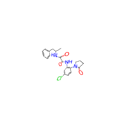 CC(Cc1ccccc1)NC(=O)C(=O)Nc1cc(Cl)ccc1N1CCCC1=O